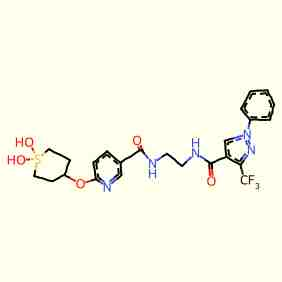 O=C(NCCNC(=O)c1cn(-c2ccccc2)nc1C(F)(F)F)c1ccc(OC2CCS(O)(O)CC2)nc1